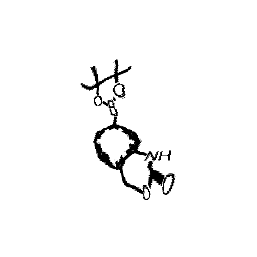 CC1(C)OB(c2ccc3c(c2)NC(=O)OC3)OC1(C)C